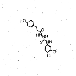 O=C(CCc1ccc(O)cc1)NNC(=S)Nc1ccc(Cl)c(Cl)c1